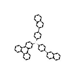 c1ccc2cc(-c3ccc(N(c4ccc(-c5ccc6ccccc6c5)cc4)c4ccc5c6ccccc6c6ccccc6c5c4)cc3)ccc2c1